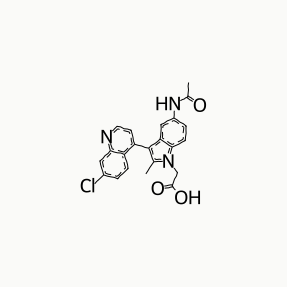 CC(=O)Nc1ccc2c(c1)c(-c1ccnc3cc(Cl)ccc13)c(C)n2CC(=O)O